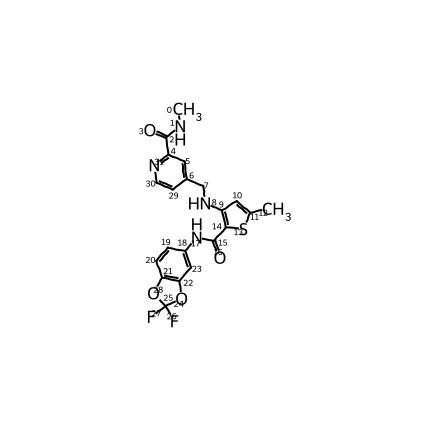 CNC(=O)c1cc(CNc2cc(C)sc2C(=O)Nc2ccc3c(c2)OC(F)(F)O3)ccn1